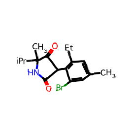 CCc1cc(C)cc(Br)c1C1C(=O)NC(C)(C(C)C)C1=O